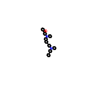 c1ccc(-c2ccc(N(c3ccccc3)c3ccc(-c4ccc5ccc(N(c6ccccc6)c6ccc7c(c6)oc6ccccc67)cc5c4)cc3)cc2)cc1